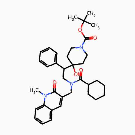 Cn1c(=O)c(CN(CC(c2ccccc2)C2(O)CCN(C(=O)OC(C)(C)C)CC2)C(=O)C2CCCCC2)cc2ccccc21